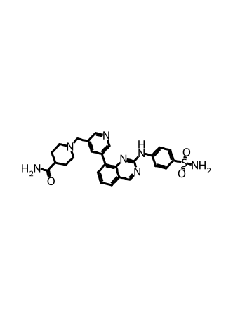 NC(=O)C1CCN(Cc2cncc(-c3cccc4cnc(Nc5ccc(S(N)(=O)=O)cc5)nc34)c2)CC1